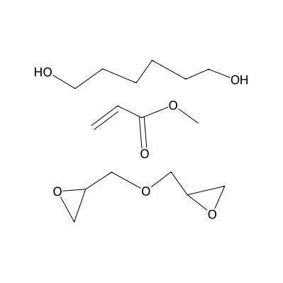 C(OCC1CO1)C1CO1.C=CC(=O)OC.OCCCCCCO